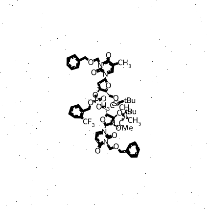 CO[C@@H]1[C@H](O[Si](C)(C)C(C)(C)C)[C@@H](COP(=O)(OCc2ccccc2C(F)(F)F)O[C@H]2C[C@H](n3cc(C)c(=O)n(COCc4ccccc4)c3=O)O[C@@H]2CO[Si](C)(C)C(C)(C)C)O[C@H]1n1ccc(=O)n(COCc2ccccc2)c1=O